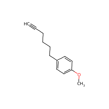 C#CCCCCc1ccc(OC)cc1